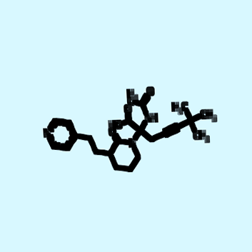 CC(=O)NC(CC#CC(C)(C)C)(C(=O)O)N1CCCC(CCc2ccncc2)C1=O